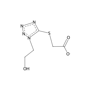 [O]C(=O)CSc1nnnn1CCO